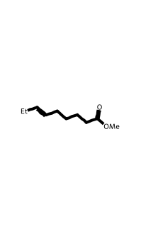 [CH2]CC=CCCCCC(=O)OC